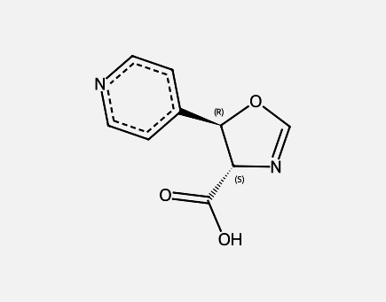 O=C(O)[C@H]1N=CO[C@@H]1c1ccncc1